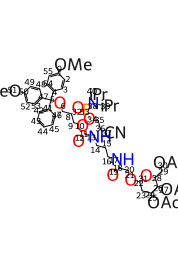 COc1ccc(C(OCC(COC(=O)NCCCNC(=O)COC2CC(OC(C)=O)C(OC(C)=O)C(COC(C)=O)O2)OP(OCCC#N)N(C(C)C)C(C)C)(c2ccccc2)c2ccc(OC)cc2)cc1